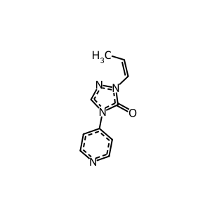 C/C=C\n1ncn(-c2ccncc2)c1=O